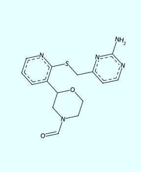 Nc1nccc(CSc2ncccc2C2CN(C=O)CCO2)n1